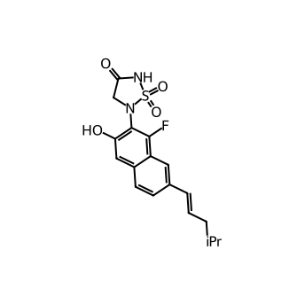 CC(C)C/C=C/c1ccc2cc(O)c(N3CC(=O)NS3(=O)=O)c(F)c2c1